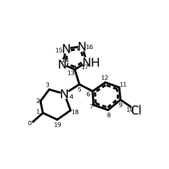 CC1CCN(C(c2ccc(Cl)cc2)c2nnn[nH]2)CC1